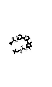 Cc1cc(F)c(NC(=O)NCCC(C)(C)F)cc1-c1ccnc(-c2ccnc(NC(=O)C3CC3)c2)n1